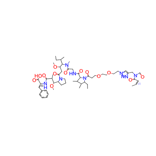 C/C=C\C(=O)N(C=O)Cc1cn(CCOCCOCCC(=O)N2C(CC)C(C)C(C)C2C(=O)NCC(=O)N(C)C(C(C)CC)C(CC(=O)N2CCCC2C(OC)C(C)C(=O)N[C@@H](Cc2ccccc2)C(=O)O)OC)nn1